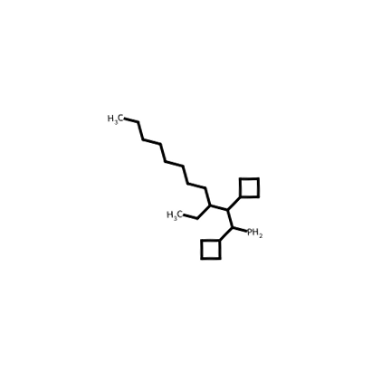 CCCCCCCCC(CC)C(C1CCC1)C(P)C1CCC1